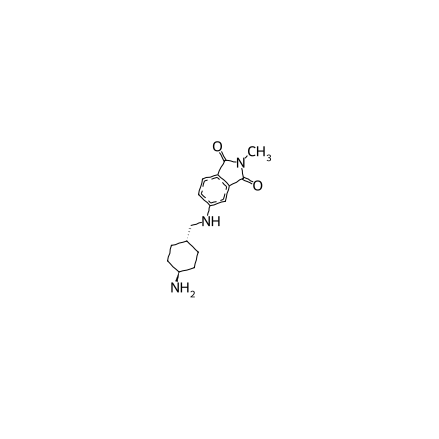 CN1C(=O)c2ccc(NC[C@H]3CC[C@H](N)CC3)cc2C1=O